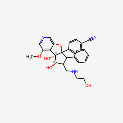 COc1cncc2c1[C@]1(O)[C@H](O)C(CNCCO)C(c3ccccc3)C1(c1ccc(C#N)cc1)O2